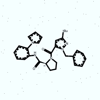 CC(C)(C)c1cc(C(=O)N2CCC[C@H]2C(=O)Nc2ccccc2-n2cccc2)n(Cc2ccccc2)n1